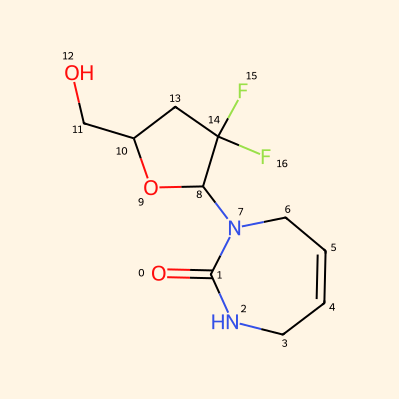 O=C1NCC=CCN1C1OC(CO)CC1(F)F